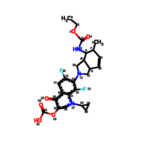 CCOC(=O)NC1C(C)C=CC2CN(c3c(F)cc4c(=O)c(OC(=O)O)cn(C5CC5)c4c3F)CC21